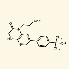 COCCN1C(=O)CNc2ncc(-c3ccc(C(C)(C)O)nc3)nc21